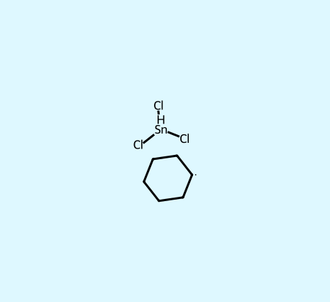 [CH]1CCCCC1.[Cl][SnH]([Cl])[Cl]